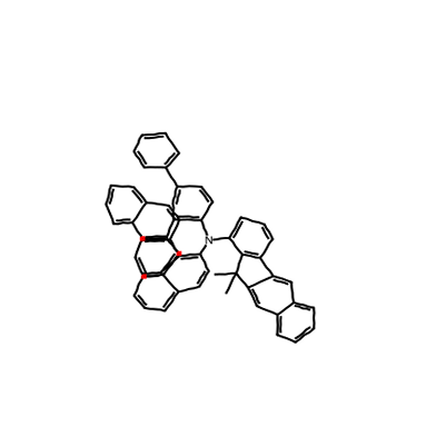 CC1(C)c2cc3ccccc3cc2-c2cccc(N(c3ccc(-c4ccccc4)cc3-c3ccccc3)c3ccc4ccccc4c3-c3ccc4ccccc4c3)c21